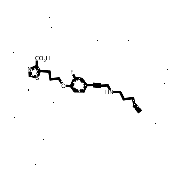 C#CCCCNCC#Cc1ccc(OCCCc2scnc2C(=O)O)c(F)c1